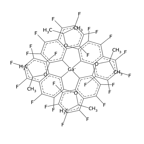 CC(C)Oc1c(F)c(F)c2c(F)c(F)c(F)c(F)c2[c]1[Ga-]([c]1c(OC(C)C)c(F)c(F)c2c(F)c(F)c(F)c(F)c12)([c]1c(OC(C)C)c(F)c(F)c2c(F)c(F)c(F)c(F)c12)[c]1c(OC(C)C)c(F)c(F)c2c(F)c(F)c(F)c(F)c12